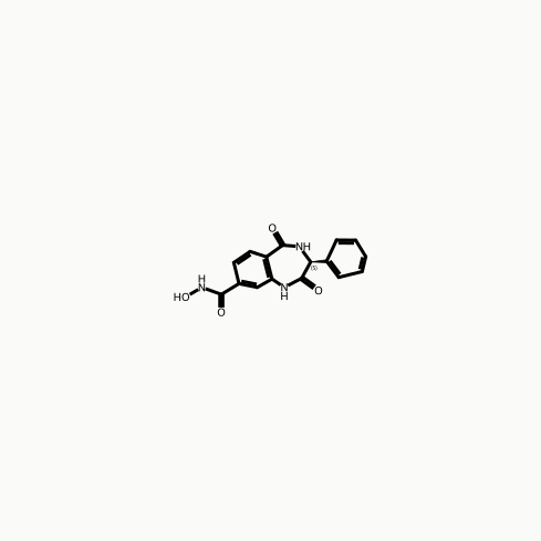 O=C(NO)c1ccc2c(c1)NC(=O)[C@H](c1ccccc1)NC2=O